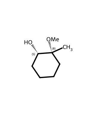 CO[C@]1(C)CCCC[C@@H]1O